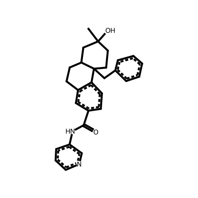 CC1(O)CCC2(Cc3ccccc3)c3ccc(C(=O)Nc4cccnc4)cc3CCC2C1